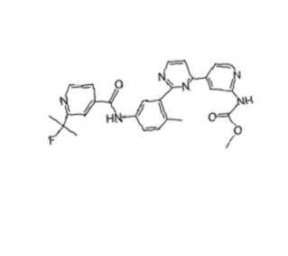 COC(=O)Nc1cc(-c2ccnc(-c3cc(NC(=O)c4ccnc(C(C)(C)F)c4)ccc3C)n2)ccn1